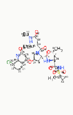 C=C[C@@H]1C[C@]1(NC(=O)[C@@H]1C[C@@H](Oc2cc(OCC)nc3c(Cl)cccc23)CN1C(=O)[C@@H](CC(=O)NC(C)(C)C)C(C)(C)C)C(=O)NS(=O)(=O)C1(C)CC1